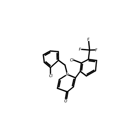 O=c1ccn(Cc2ccccc2Cl)c(-c2cccc(C(F)(F)F)c2Cl)c1